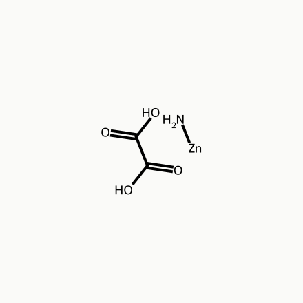 O=C(O)C(=O)O.[NH2][Zn]